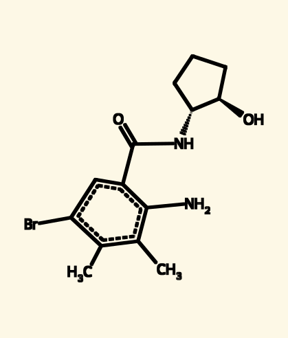 Cc1c(Br)cc(C(=O)N[C@@H]2CCC[C@H]2O)c(N)c1C